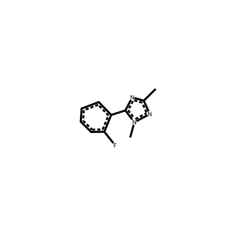 Cc1nc(-c2ccccc2F)n(C)n1